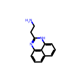 NCCC1=Nc2cccc3cccc(c23)N1